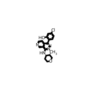 C[C@@H]1COCC[C@@H]1Nc1nnc(-c2ccc(Cl)cc2O)c2ccncc12